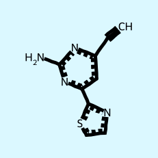 C#Cc1cc(-c2nccs2)nc(N)n1